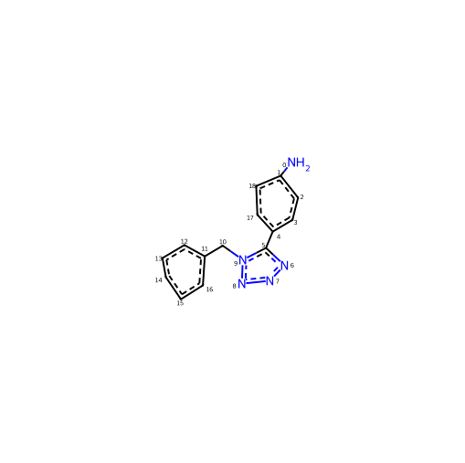 Nc1ccc(-c2nnnn2Cc2ccccc2)cc1